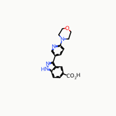 O=C(O)c1ccc2[nH]nc(-c3ccc(N4CCOCC4)nc3)c2c1